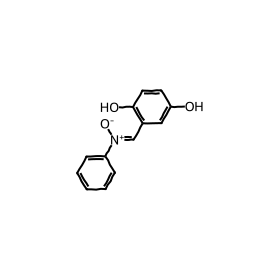 [O-][N+](=Cc1cc(O)ccc1O)c1ccccc1